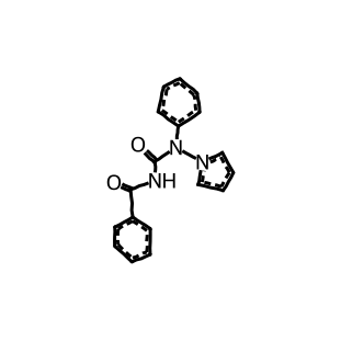 O=C(NC(=O)N(c1ccccc1)n1cccc1)c1ccccc1